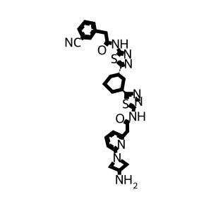 N#Cc1cccc(CC(=O)Nc2nnc([C@H]3CCC[C@H](c4nnc(NC(=O)Cc5cccc(N6CC(N)C6)n5)s4)C3)s2)c1